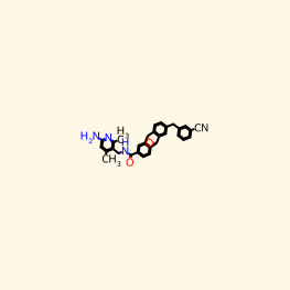 Cc1cc(N)nc(C)c1CNC(=O)c1ccc2c(c1)C1OC2c2cc(Cc3cccc(C#N)c3)ccc21